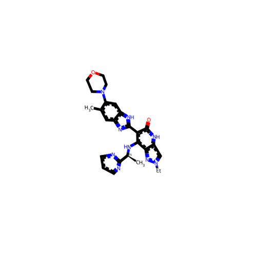 CCn1cc2[nH]c(=O)c(-c3nc4cc(C)c(N5CCOCC5)cc4[nH]3)c(N[C@@H](C)c3ncccn3)c2n1